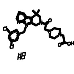 CC1(C)CN(C(=O)CN2CCN(CC(=O)O)CC2)Cc2c1c1cccnc1n2Cc1cc(Cl)cc(Cl)c1.Cl.Cl